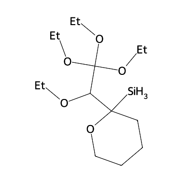 CCOC(C1([SiH3])CCCCO1)C(OCC)(OCC)OCC